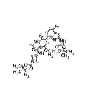 COc1cc(-c2ccc(F)c3sc(NC(=O)OC(C)(C)C)nc23)c(F)c2ncnc(NC3CN(C(=O)OC(C)(C)C)C3)c12